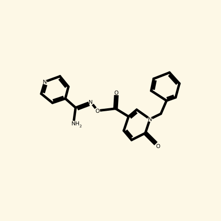 N/C(=N\OC(=O)c1ccc(=O)n(Cc2ccccc2)c1)c1ccncc1